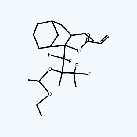 C=CC(=O)OC1(C(F)(F)C(C)(OC(C)OCC)C(F)(F)F)C(CC)CC2CCCC1C2